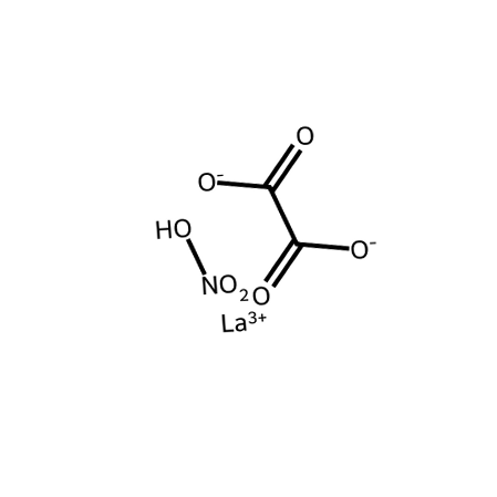 O=C([O-])C(=O)[O-].O=[N+]([O-])O.[La+3]